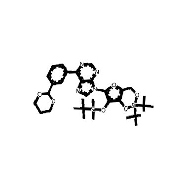 CC(C)(C)[Si](C)(C)Oc1c(-n2cnc3c(-c4cccc(C5OCCCO5)c4)ncnc32)oc2c1O[Si](C(C)(C)C)(C(C)(C)C)OC2